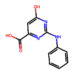 O=C(O)c1cc(O)nc(Nc2ccccc2)n1